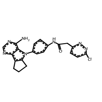 Nc1ncnc2c3c(n(-c4ccc(NC(=O)Cc5ccc(Cl)nn5)cc4)c12)CCC3